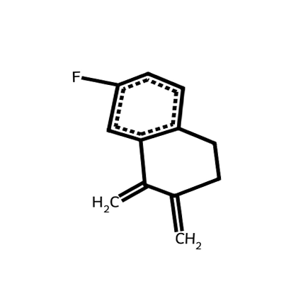 C=C1CCc2ccc(F)cc2C1=C